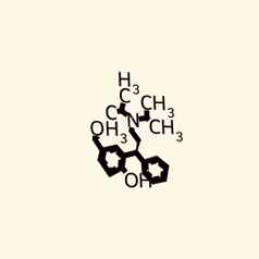 CC(C)N(CC[C@@H](c1ccccc1)c1cc(C=O)ccc1O)C(C)C